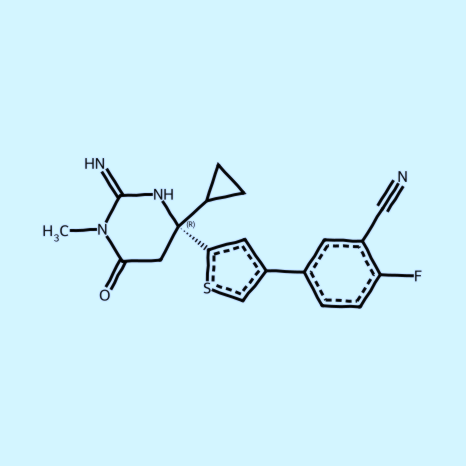 CN1C(=N)N[C@@](c2cc(-c3ccc(F)c(C#N)c3)cs2)(C2CC2)CC1=O